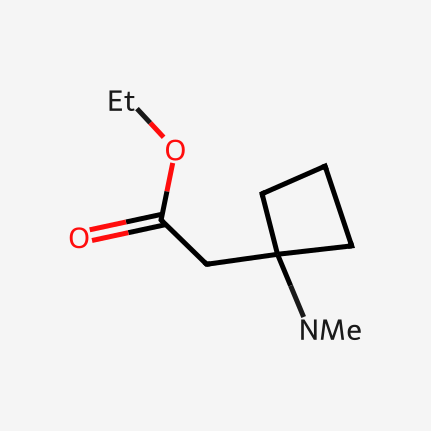 CCOC(=O)CC1(NC)CCC1